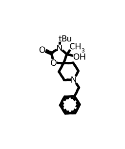 CC(C)(C)N1C(=O)OC2(CCN(Cc3ccccc3)CC2)C1(C)O